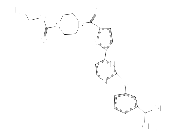 CCOC(=O)N1CCN(C(=S)c2ccc(-c3ccnc(Oc4cccc(C(C)O)c4)n3)s2)CC1